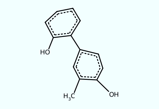 Cc1cc(-c2ccccc2O)ccc1O